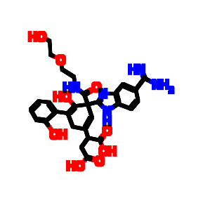 N=C(N)c1ccc2[nH]c(C3(C(=O)NCCOCCO)C=C(C(CC(=O)O)C(=O)O)CC(c4ccccc4O)=C3O)nc2c1